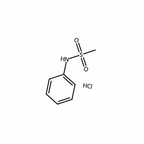 CS(=O)(=O)Nc1ccccc1.Cl